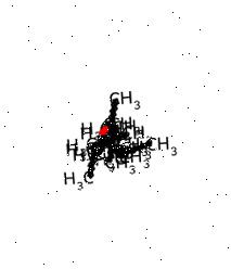 CCCCCCCCON1C(C)(C)CC(N(CCCC)c2nc(N(CCCC)C3CC(C)(C)N(OCCCCCCCC)C(C)(C)C3)nc(N(CCCC)C3CC(C)(C)N(OCCCCCCCC)C(C)(C)C3)n2)CC1(C)C